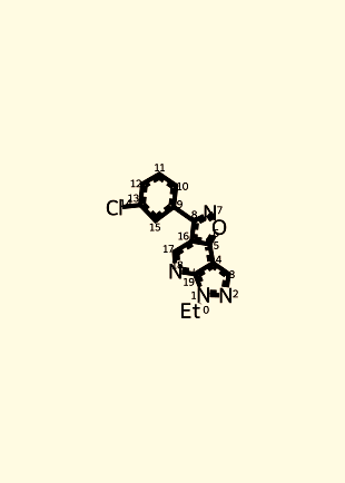 CCn1ncc2c3onc(-c4cccc(Cl)c4)c3cnc21